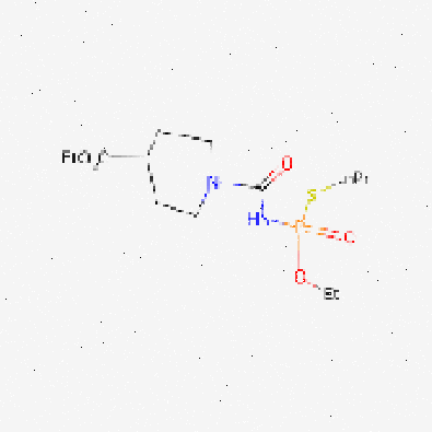 CCCSP(=O)(NC(=O)N1CCC(C(=O)OCC)CC1)OCC